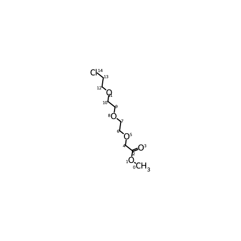 COC(=O)COCCOCCOCCCl